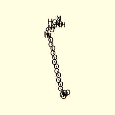 CN1CC(N2C(=O)NC3(CCN(C(=O)Nc4cccc(-c5cn(CCOCCOCCOCCOCCOCCOCCOCCOCCOCCOCCOCCOCCC(=O)ON6C(=O)CCC6=O)nn5)c4)CC3)C2=O)C1